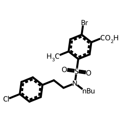 CCCCN(CCc1ccc(Cl)cc1)S(=O)(=O)c1cc(C(=O)O)c(Br)cc1C